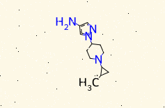 C[C]1CC1N1CCC(n2cc(N)cn2)CC1